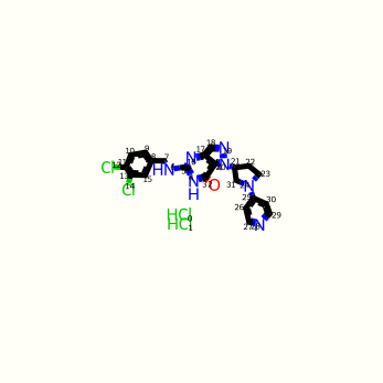 Cl.Cl.O=c1[nH]c(NCc2ccc(Cl)c(Cl)c2)nc2cnn(C3CCN(c4ccncc4)C3)c12